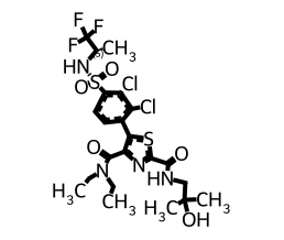 CCN(CC)C(=O)c1nc(C(=O)NCC(C)(C)O)sc1-c1ccc(S(=O)(=O)N[C@@H](C)C(F)(F)F)c(Cl)c1Cl